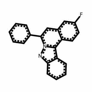 Fc1ccc2c(c1)cc(-c1ccccc1)n1nc3ccccc3c21